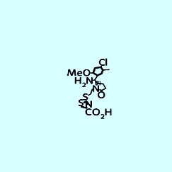 COc1cc(Cl)c(C)cc1C(N)[C@H]1CCC(=O)N1CCSc1nc(C(=O)O)cs1